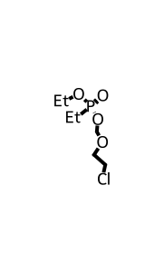 CCOP(=O)(CC)OCOCCCl